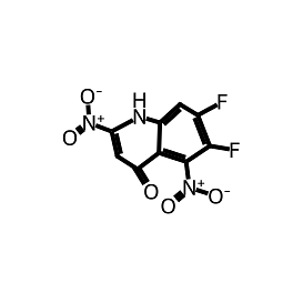 O=c1cc([N+](=O)[O-])[nH]c2cc(F)c(F)c([N+](=O)[O-])c12